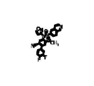 COc1cc(-c2ccc(F)c(F)c2)c(C#N)cc1N(c1ccon1)S(=O)(=O)c1ccc2cnccc2c1